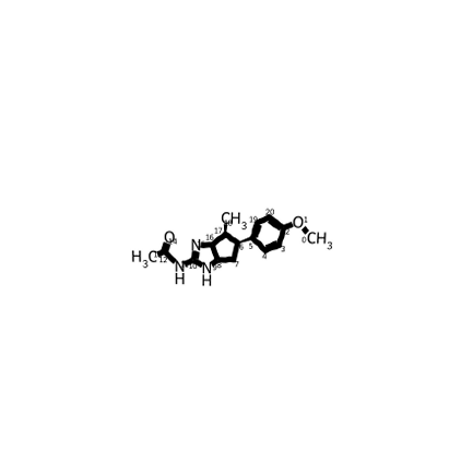 COc1ccc([C@H]2CC3NC(NC(C)=O)=NC3[C@H]2C)cc1